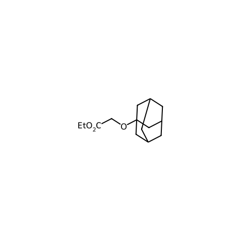 CCOC(=O)COC12CC3CC(CC(C3)C1)C2